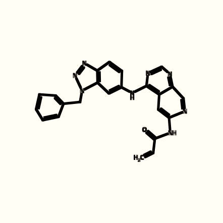 C=CC(=O)Nc1cc2c(Nc3ccc4nnn(Cc5ccccc5)c4c3)ncnc2cn1